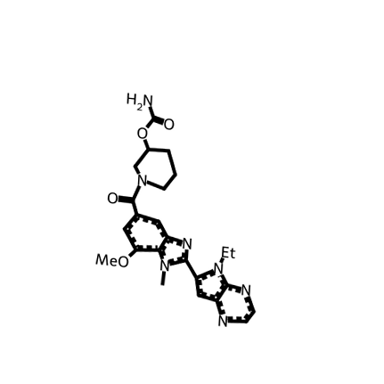 CCn1c(-c2nc3cc(C(=O)N4CCCC(OC(N)=O)C4)cc(OC)c3n2C)cc2nccnc21